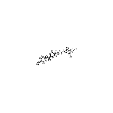 CCCC(C(=O)OCCCCOc1ccc(C(=O)Oc2ccc(C#N)cc2)cc1)C(C)(C)C